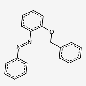 c1ccc(COc2ccccc2N=Nc2ccccc2)cc1